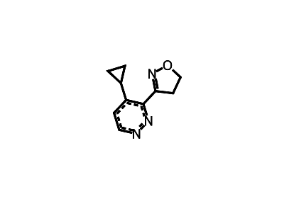 c1cc(C2CC2)c(C2=NOCC2)nn1